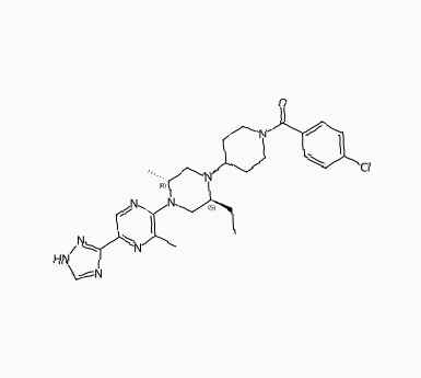 CC[C@H]1CN(c2ncc(-c3nc[nH]n3)nc2C)[C@H](C)CN1C1CCN(C(=O)c2ccc(Cl)cc2)CC1